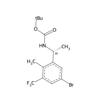 Cc1c([C@@H](C)NC(=O)OC(C)(C)C)cc(Br)cc1C(F)(F)F